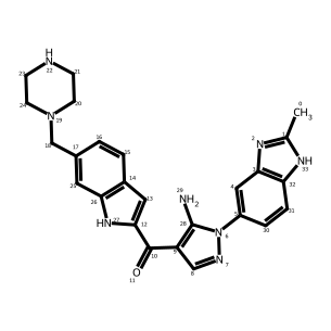 Cc1nc2cc(-n3ncc(C(=O)c4cc5ccc(CN6CCNCC6)cc5[nH]4)c3N)ccc2[nH]1